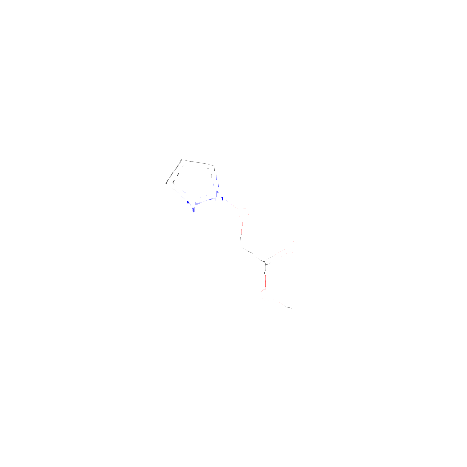 COC(=O)COn1cccn1